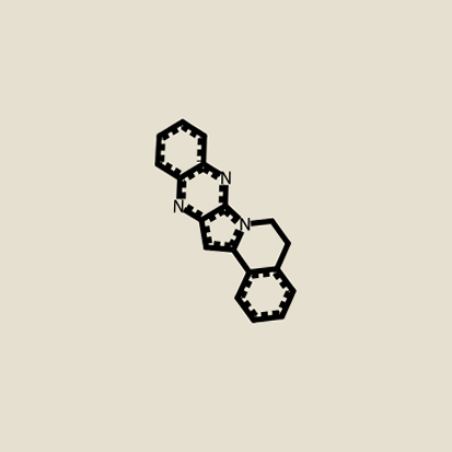 c1ccc2c(c1)CCn1c-2cc2nc3ccccc3nc21